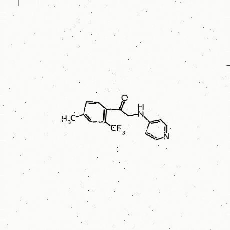 Cc1ccc(C(=O)CNc2ccncc2)c(C(F)(F)F)c1